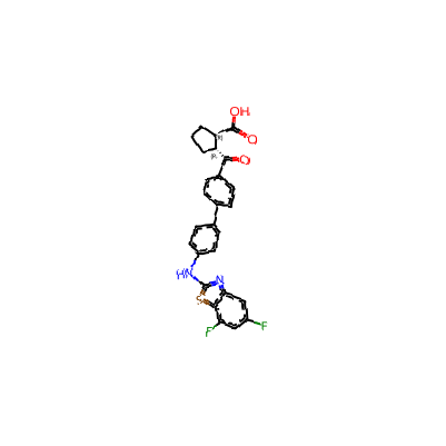 O=C(O)[C@@H]1CCC[C@H]1C(=O)c1ccc(-c2ccc(Nc3nc4cc(F)cc(F)c4s3)cc2)cc1